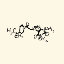 CN(C)C1CCN(C(=O)Cn2cnc3c2c(=O)n(C)c(=O)n3C)CC1